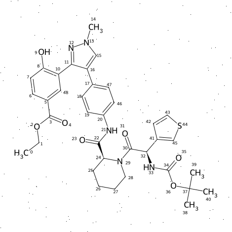 CCOC(=O)c1ccc(O)c(-c2nn(C)cc2-c2ccc(NC(=O)[C@@H]3CCCCN3C(=O)[C@H](NC(=O)OC(C)(C)C)c3ccsc3)cc2)c1